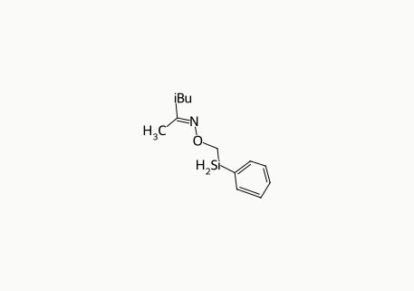 CCC(C)C(C)=NOC[SiH2]c1ccccc1